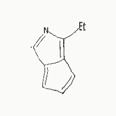 CCC1=C2C=CC=C2[C]=N1